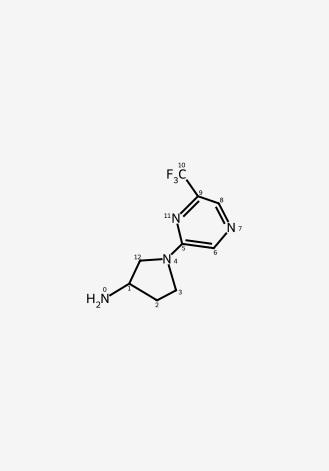 NC1CCN(c2cncc(C(F)(F)F)n2)C1